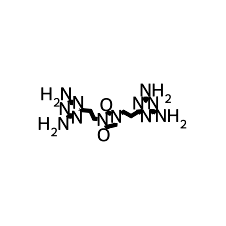 Nc1nc(N)nc(CCN2CC(=O)N(CCc3nc(N)nc(N)n3)C2=O)n1